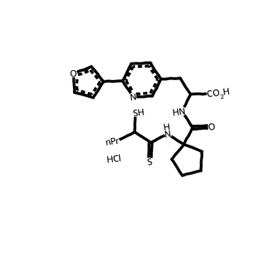 CCCC(S)C(=S)NC1(C(=O)NC(Cc2ccc(-c3ccoc3)nc2)C(=O)O)CCCC1.Cl